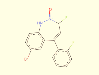 O=[N+]1Nc2ccc(Br)cc2C(c2ccccc2F)=CC1F